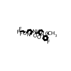 COc1cc(F)ccc1-n1cccc(C(=O)Nc2ccc(OCC(F)(F)F)nc2)c1=O